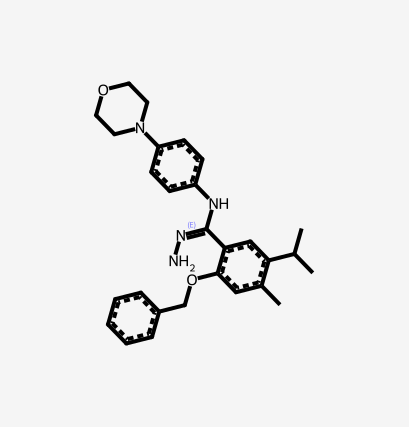 Cc1cc(OCc2ccccc2)c(/C(=N\N)Nc2ccc(N3CCOCC3)cc2)cc1C(C)C